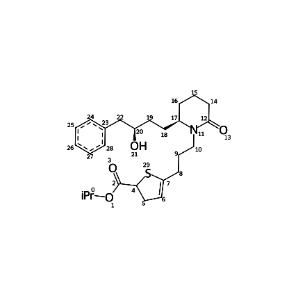 CC(C)OC(=O)C1CC=C(CCCN2C(=O)CCC[C@@H]2CC[C@@H](O)Cc2ccccc2)S1